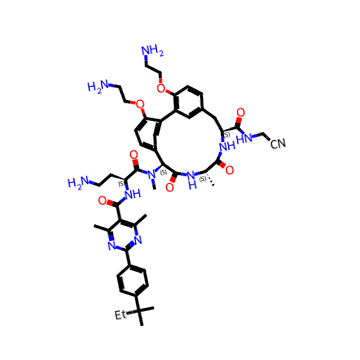 CCC(C)(C)c1ccc(-c2nc(C)c(C(=O)N[C@@H](CCN)C(=O)N(C)[C@@H]3C(=O)N[C@@H](C)C(=O)N[C@H](C(=O)NCC#N)Cc4ccc(OCCN)c(c4)-c4cc3ccc4OCCN)c(C)n2)cc1